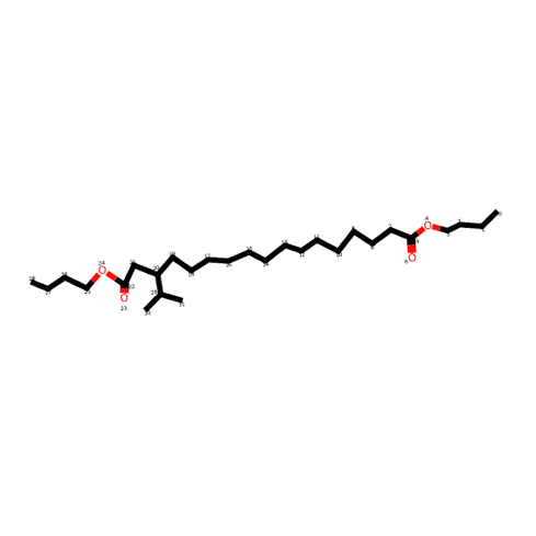 CCCCOC(=O)CCCCCCCCCCCCCC(CC(=O)OCCCC)C(C)C